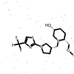 O[C@@H]1CC[C@H](COI)N(C[C@@H]2CCN(c3nc(C(F)(F)F)cs3)C2)C1